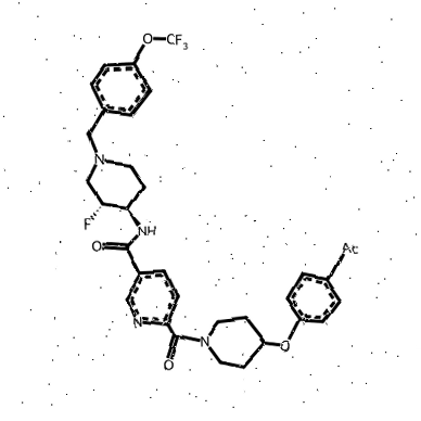 CC(=O)c1ccc(OC2CCN(C(=O)c3ccc(C(=O)N[C@@H]4CCN(Cc5ccc(OC(F)(F)F)cc5)C[C@H]4F)cn3)CC2)cc1